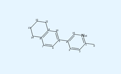 Cc1ccc(-c2ccc3c(c2)[CH]CCC3)cn1